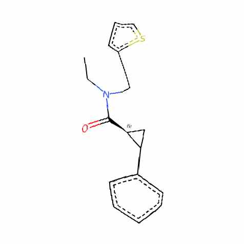 CCN(Cc1cccs1)C(=O)[C@H]1CC1c1ccccc1